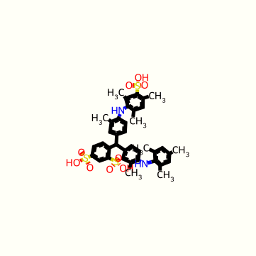 Cc1cc(C)c(Nc2ccc(C(c3ccc(Nc4c(C)cc(C)c(S(=O)(=O)O)c4C)c(C)c3)c3ccc(S(=O)(=O)O)cc3S(=O)(=O)O)cc2C)c(C)c1